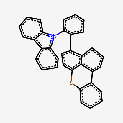 c1ccc2c(c1)Sc1ccc(-c3ccccc3-n3c4ccccc4c4ccccc43)c3cccc-2c13